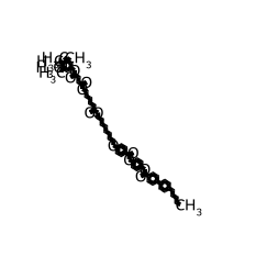 CCCCCC1CCC(C2CCC(C(=O)Oc3ccc(OC(=O)c4ccc(OCCCCCCCCOC(=O)CCCCCOC(=O)CCC(=O)OC5CC(C)(C)N(C)C(C)(C)C5)cc4)cc3)CC2)CC1